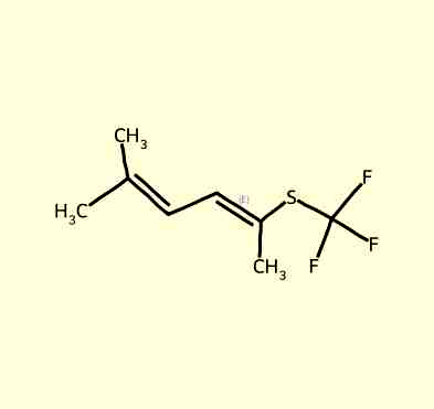 CC(C)=C/C=C(\C)SC(F)(F)F